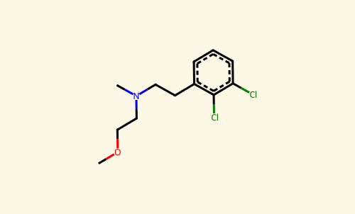 COCCN(C)CCc1cccc(Cl)c1Cl